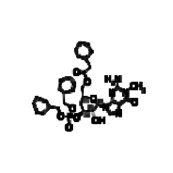 Cn1c(N)nc2c(ncn2[C@@H]2O[C@H](COC(=O)Cc3ccccc3)C[C@H](OP(=O)(OCc3ccccc3)OCc3ccccc3)[C@H]2O)c1=O